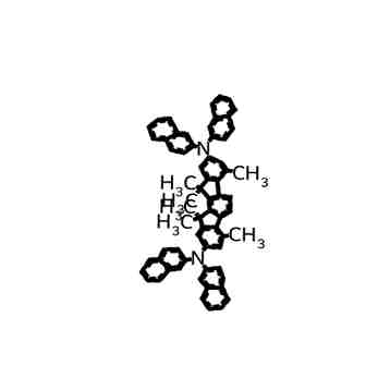 Cc1cc(N(c2ccc3ccccc3c2)c2ccc3ccccc3c2)cc2c1-c1ccc3c(c1C2(C)C)C(C)(C)c1cc(N(c2ccc4ccccc4c2)c2ccc4ccccc4c2)cc(C)c1-3